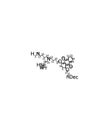 CCCCCCCCCCCCOc1ccc(OCCCCN(CCCCN)CCCNCCC)c2c1C(=O)c1ccccc1C2=O